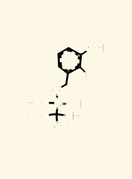 CC(C)(C)[Si](C)(C)OCc1cccc(O)c1F